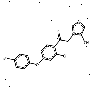 N#Cc1cncn1CC(=O)c1ccc(Oc2ccc(Br)cc2)cc1Cl